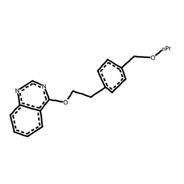 CCCOCc1ccc(CCOc2ncnc3ccccc23)cc1